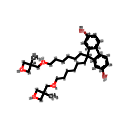 CC1(COCCCCCCC2(CCCCCCOCC3(C)COC3)c3cc(Br)ccc3-c3ccc(Br)cc32)COC1